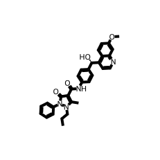 CCCn1c(C)c(C(=O)Nc2ccc([C@H](O)c3ccnc4cc(OC)ccc34)cc2)c(=O)n1-c1ccccc1